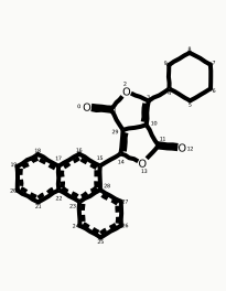 O=C1OC(C2CCCCC2)=C2C(=O)OC(c3cc4ccccc4c4ccccc34)=C12